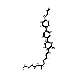 C=CCOc1ccc(-c2ccc(-c3ccc(/C=C/CCCC(C)OCCCCC)c(F)c3)cc2)cc1